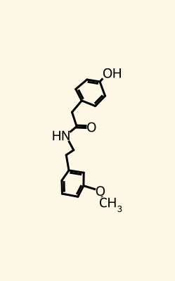 COc1cccc(CCNC(=O)Cc2ccc(O)cc2)c1